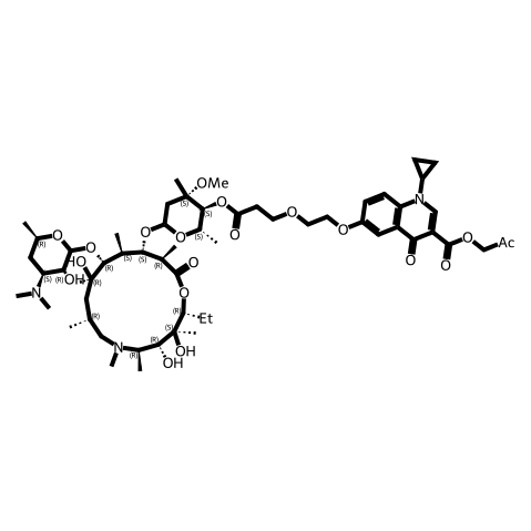 CC[C@H]1OC(=O)[C@H](C)[C@@H](OC2C[C@](C)(OC)[C@@H](OC(=O)CCOCCOc3ccc4c(c3)c(=O)c(C(=O)OCC(C)=O)cn4C3CC3)[C@H](C)O2)[C@H](C)[C@@H](OC2O[C@H](C)C[C@H](N(C)C)[C@H]2O)[C@](C)(O)C[C@@H](C)CN(C)[C@H](C)[C@@H](O)[C@]1(C)O